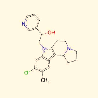 Cc1cc2c3c(n(CC(O)c4cccnc4)c2cc1Cl)CCN1CCCC31